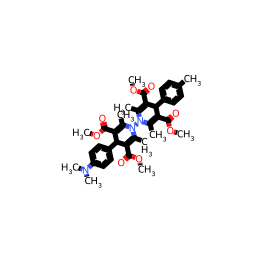 COC(=O)C1=C(C)N(N2C(C)=C(C(=O)OC)C(c3ccc(N(C)C)cc3)C(C(=O)OC)=C2C)C(C)=C(C(=O)OC)C1c1ccc(C)cc1